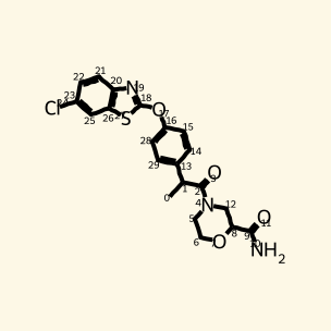 CC(C(=O)N1CCOC(C(N)=O)C1)c1ccc(Oc2nc3ccc(Cl)cc3s2)cc1